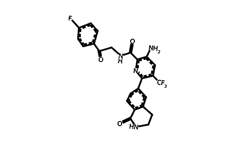 Nc1cc(C(F)(F)F)c(-c2ccc3c(c2)CCNC3=O)nc1C(=O)NCC(=O)c1ccc(F)cc1